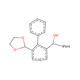 CCCC(C)C(O)c1cccc(C2OCCO2)c1-c1ccccc1